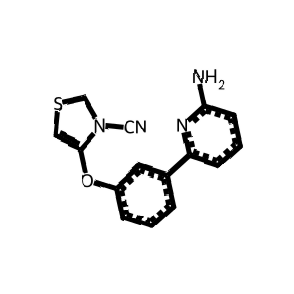 N#CN1CSC=C1Oc1cccc(-c2cccc(N)n2)c1